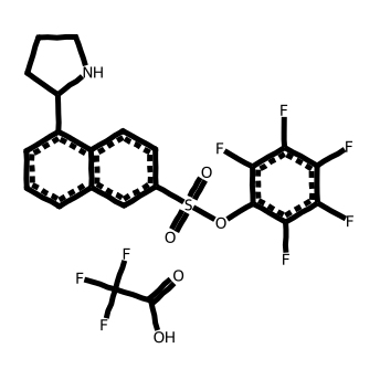 O=C(O)C(F)(F)F.O=S(=O)(Oc1c(F)c(F)c(F)c(F)c1F)c1ccc2c(C3CCCN3)cccc2c1